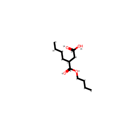 CCCCOC(=O)C(CCCC)CC(=O)O